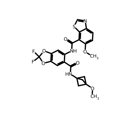 COc1ccc2ncsc2c1C(=O)Nc1cc2c(cc1C(=O)NC13CC(OC)(C1)C3)OC(F)(F)O2